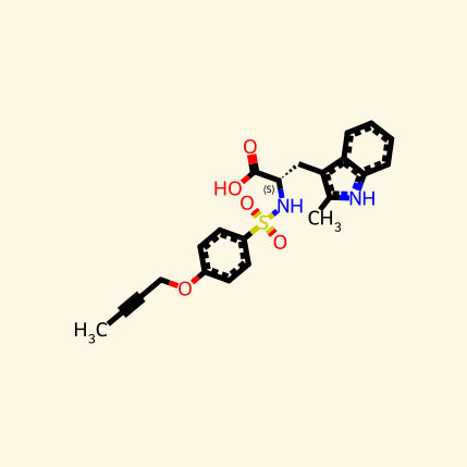 CC#CCOc1ccc(S(=O)(=O)N[C@@H](Cc2c(C)[nH]c3ccccc23)C(=O)O)cc1